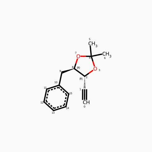 C#C[C@H]1OC(C)(C)O[C@@H]1Cc1ccccc1